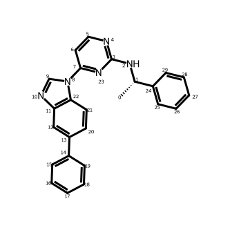 C[C@H](Nc1nccc(-n2cnc3cc(-c4ccccc4)ccc32)n1)c1ccccc1